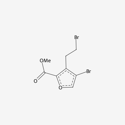 COC(=O)c1occ(Br)c1CCBr